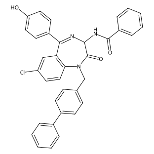 O=C(NC1N=C(c2ccc(O)cc2)c2cc(Cl)ccc2N(Cc2ccc(-c3ccccc3)cc2)C1=O)c1ccccc1